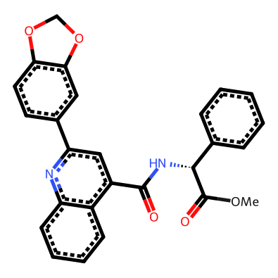 COC(=O)[C@H](NC(=O)c1cc(-c2ccc3c(c2)OCO3)nc2ccccc12)c1ccccc1